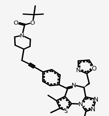 Cc1sc2c(c1C)C(c1ccc(C#CCC3CCN(C(=O)OC(C)(C)C)CC3)cc1)=N[C@@H](Cc1ncco1)c1nnc(C)n1-2